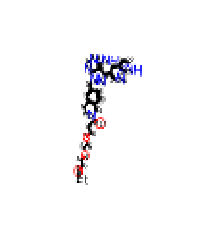 CCOCCOCCOCCC(=O)N1CCc2cc(Cn3nc(-c4cnc5[nH]ccc5c4)c4c(N)ncnc43)ccc2C1